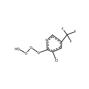 OOOOc1ncc(C(F)(F)F)cc1Cl